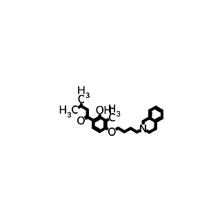 Cc1c(OCCCCN2CCc3ccccc3C2)ccc(C(=O)CC(C)C)c1O